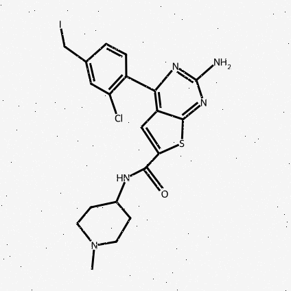 CN1CCC(NC(=O)c2cc3c(-c4ccc(CI)cc4Cl)nc(N)nc3s2)CC1